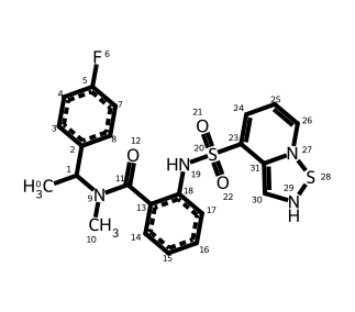 CC(c1ccc(F)cc1)N(C)C(=O)c1ccccc1NS(=O)(=O)C1=CC=CN2SNC=C12